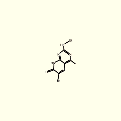 CCNc1nc(C)c2cc(Br)c(=O)[nH]c2n1